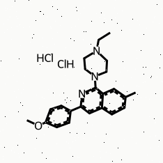 CCN1CCN(c2nc(-c3ccc(OC)cc3)cc3ccc(C)cc23)CC1.Cl.Cl